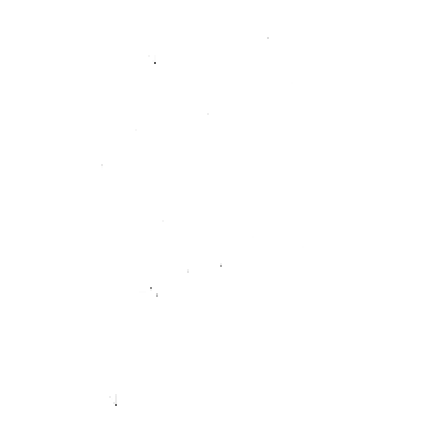 N#CCNC(=O)[C@@H]1CCCCC1c1ccccc1-c1cccc(N)c1